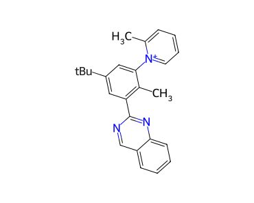 Cc1c(-c2ncc3ccccc3n2)cc(C(C)(C)C)cc1-[n+]1ccccc1C